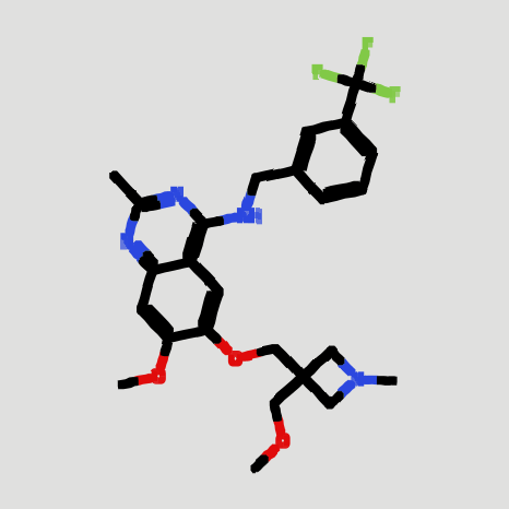 COCC1(COc2cc3c(NCc4cccc(C(F)(F)F)c4)nc(C)nc3cc2OC)CN(C)C1